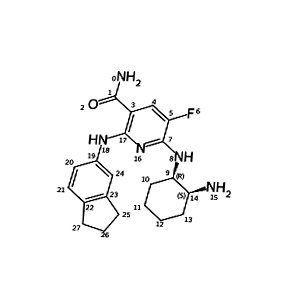 NC(=O)c1cc(F)c(N[C@@H]2CCCC[C@@H]2N)nc1Nc1ccc2c(c1)CCC2